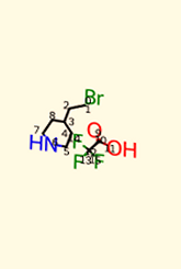 BrCCC1CCNCC1.O=C(O)C(F)(F)F